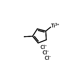 CC1=CC[C]([Ti+3])=C1.[Cl-].[Cl-].[Cl-]